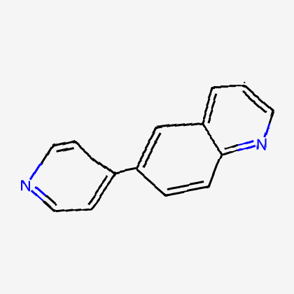 [c]1cnc2ccc(-c3ccncc3)cc2c1